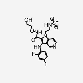 CS(=O)(=O)NCCn1c(C(=O)NOCCO)c(Nc2ccc(I)cc2F)c2cnccc21